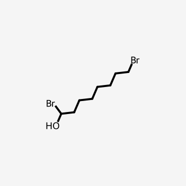 OC(Br)CCCCCCCBr